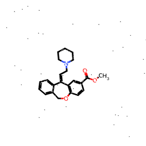 COC(=O)c1ccc2c(c1)C(=CCN1CCCCC1)c1ccccc1CO2